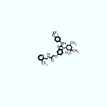 C[C@H]1C[C@H](n2c(Nc3ccc(OC(F)(F)F)cc3)nc3cc(OCC(=O)NCc4ncccc4C(F)(F)F)ccc32)CC(C)(C)C1